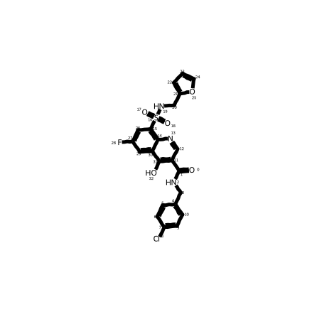 O=C(NCc1ccc(Cl)cc1)c1cnc2c(S(=O)(=O)NCc3ccco3)cc(F)cc2c1O